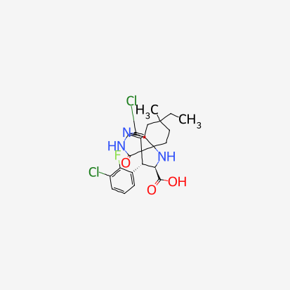 CCC1(C)CCC2(CC1)N[C@@H](C(=O)O)[C@H](c1cccc(Cl)c1F)C21C(=O)Nc2nc(Cl)ccc21